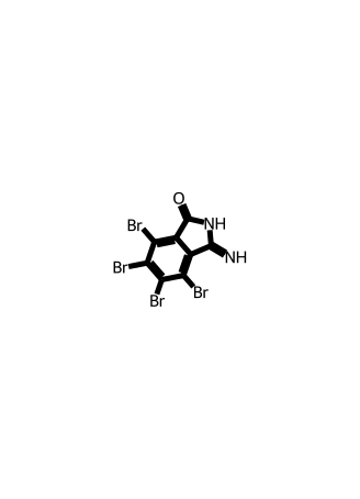 N=C1NC(=O)c2c(Br)c(Br)c(Br)c(Br)c21